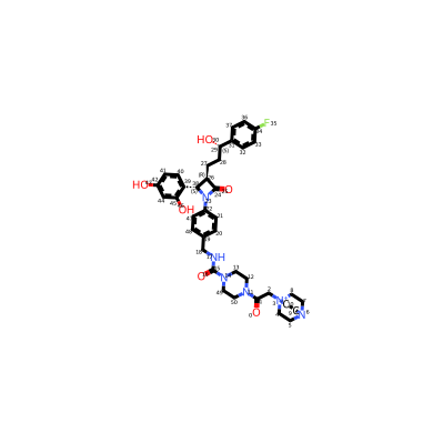 O=C(C[N+]12CCN(CC1)CC2)N1CCN(C(=O)NCc2ccc(N3C(=O)[C@H](CC[C@H](O)c4ccc(F)cc4)[C@H]3c3ccc(O)cc3O)cc2)CC1